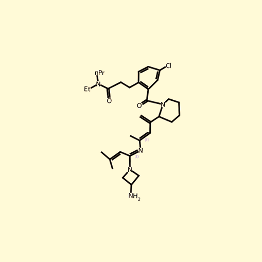 C=C(/C=C(C)/N=C(\C=C(C)C)N1CC(N)C1)C1CCCCN1C(=O)c1cc(Cl)ccc1CCC(=O)N(CC)CCC